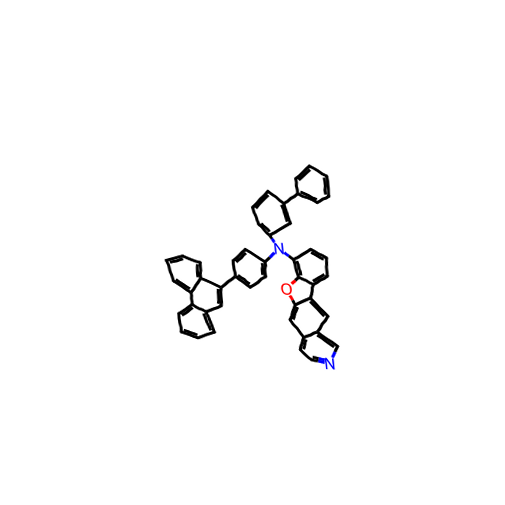 c1ccc(-c2cccc(N(c3ccc(-c4cc5ccccc5c5ccccc45)cc3)c3cccc4c3oc3cc5ccncc5cc34)c2)cc1